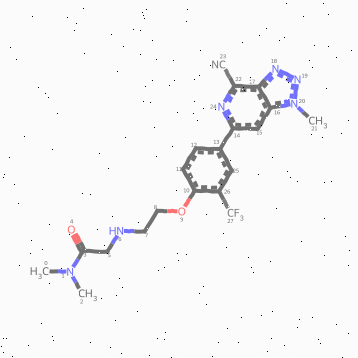 CN(C)C(=O)CNCCOc1ccc(-c2cc3c(nnn3C)c(C#N)n2)cc1C(F)(F)F